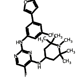 CN1C(C)(C)CC(Nc2nc(Nc3cc(-c4ccoc4)cc(C(F)(F)F)c3)ncc2F)CC1(C)C